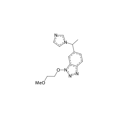 COCCOn1nnc2ccc(C(C)n3ccnc3)cc21